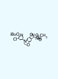 CC(C)COc1ncc(N2CCOc3cc4c(NS(C)(=O)=O)noc4cc32)cc1Cl